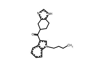 CCCCn1cc(C(=O)C2CCc3[nH]cnc3C2)c2ccccc21